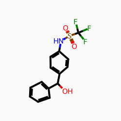 O=S(=O)(Nc1ccc(C(O)c2ccccc2)cc1)C(F)(F)F